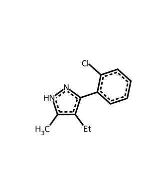 CCc1c(-c2ccccc2Cl)n[nH]c1C